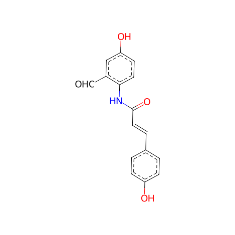 O=Cc1cc(O)ccc1NC(=O)/C=C/c1ccc(O)cc1